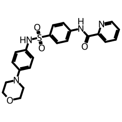 O=C(Nc1ccc(S(=O)(=O)Nc2ccc(N3CCOCC3)cc2)cc1)c1ccccn1